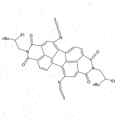 CCCCC(CC)CN1C(=O)c2ccc3c4c(N=C=S)cc5c6c(ccc(c7c(N=C=S)cc(c2c37)C1=O)c64)C(=O)N(CC(CC)CCCC)C5=O